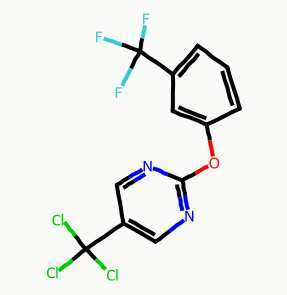 FC(F)(F)c1cccc(Oc2ncc(C(Cl)(Cl)Cl)cn2)c1